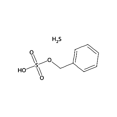 O=S(=O)(O)OCc1ccccc1.S